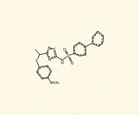 CC(=O)Nc1ccc(SC(C)c2nsc(NS(=O)(=O)c3ccc(-c4ccccc4)cc3)n2)cc1